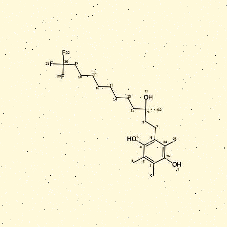 Cc1c(C)c(O)c(CC[C@](C)(O)CCCCCCCCC(F)(F)F)c(C)c1O